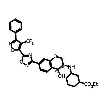 CCOC(=O)C1CCCC(N[C@@H]2COc3cc(-c4noc(-c5onc(-c6ccccc6)c5C(F)(F)F)n4)ccc3[C@@H]2O)C1